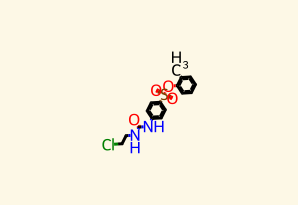 Cc1ccccc1OS(=O)(=O)c1ccc(NC(=O)NCCCl)cc1